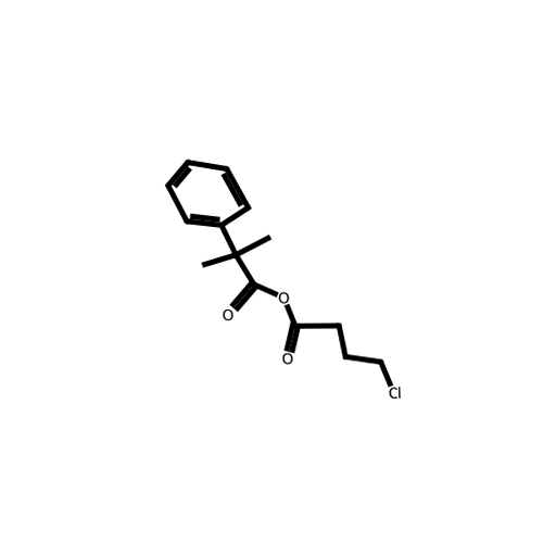 CC(C)(C(=O)OC(=O)CCCCl)c1ccccc1